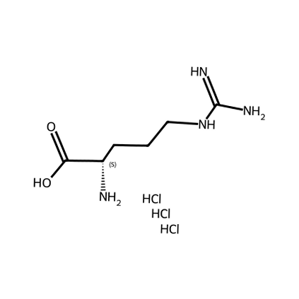 Cl.Cl.Cl.N=C(N)NCCC[C@H](N)C(=O)O